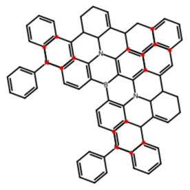 C1=CCC(C2=CCCC(C3=CCCCC3)C2N2c3cc(N(c4ccccc4)c4ccccc4)ccc3B3c4ccc(N(c5ccccc5)c5ccccc5)cc4N(C4C(C5CC=CCC5)=CCCC4C4=CCCCC4)c4cc(-c5ccccc5)cc2c43)CC1